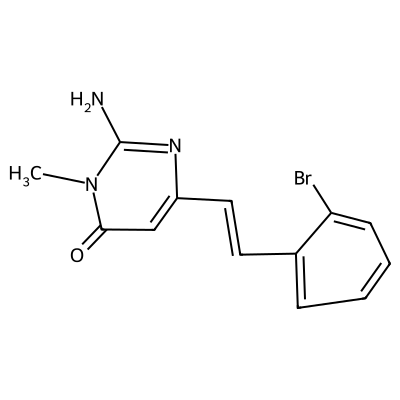 Cn1c(N)nc(C=Cc2ccccc2Br)cc1=O